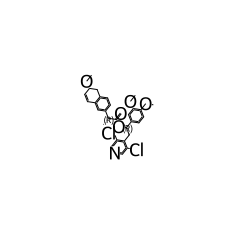 COc1ccc([C@@H](Cc2c(Cl)cncc2Cl)OC(=O)[C@H](C)c2ccc3c(c2)C=CC(OC)C3)cc1OC